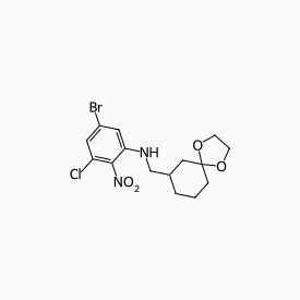 O=[N+]([O-])c1c(Cl)cc(Br)cc1NCC1CCCC2(C1)OCCO2